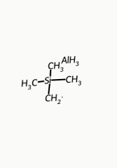 [AlH3].[CH2][Si](C)(C)C